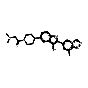 Cc1cc(-c2[nH]c3ccc(C4CCN(C(=O)CN(C)C)CC4)cc3c2C(C)C)cn2cnnc12